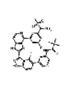 CC(C)(C)C(=O)Nc1cncc(-c2ccc3[nH]nc(-c4nc5c(-c6cc(F)cc(C(N)S(C)(=O)=O)c6)nccc5[nH]4)c3c2F)c1